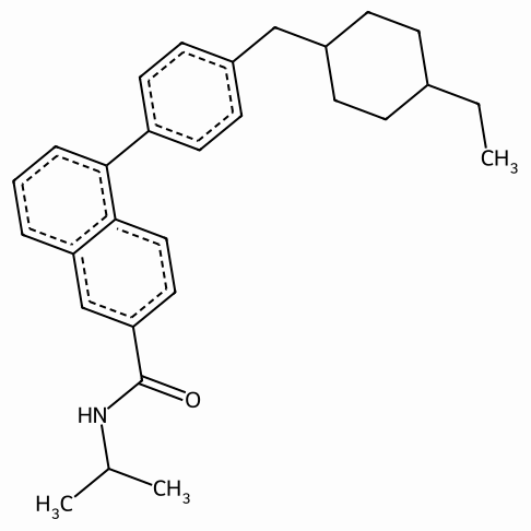 CCC1CCC(Cc2ccc(-c3cccc4cc(C(=O)NC(C)C)ccc34)cc2)CC1